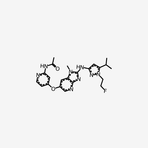 CC(=O)Nc1cc(Oc2cnc3nc(Nc4cc(C(C)C)n(CCF)n4)n(C)c3c2)ccn1